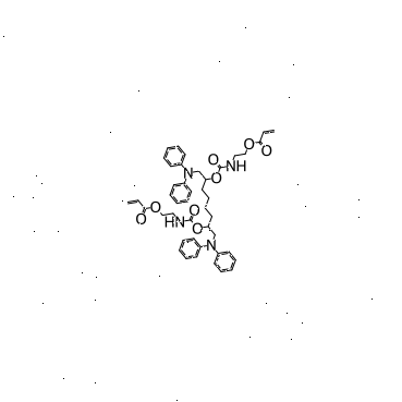 C=CC(=O)OCCNC(=O)OC(CCCCC(CN(c1ccccc1)c1ccccc1)OC(=O)NCCOC(=O)C=C)CN(c1ccccc1)c1ccccc1